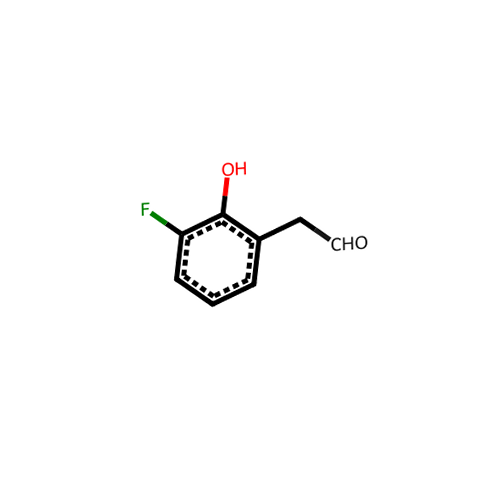 O=CCc1cccc(F)c1O